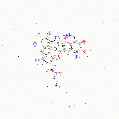 NCCN(O)C(=O)N[C@@H]1C[C@H](N)[C@@H](O[C@H]2O[C@H](CN)[C@@H](O)[C@@H](O)[C@H]2N)[C@H](O[C@@H]2O[C@H](CO)[C@@H](O[C@H]3O[C@@H](CN)[C@@H](O)[C@H](O)[C@H]3N)[C@H]2O)[C@H]1O